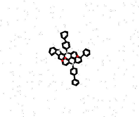 c1ccc(-c2ccc(N(c3ccc(-c4ccccc4)cc3)c3ccccc3-c3ccccc3N(c3ccc(-c4ccccc4)cc3)c3cccc4c3sc3ccccc34)cc2)cc1